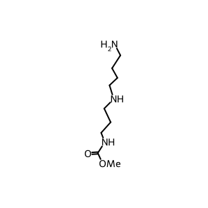 COC(=O)NCCCNCCCCN